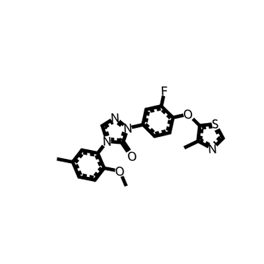 COc1ccc(C)cc1-n1cnn(-c2ccc(Oc3scnc3C)c(F)c2)c1=O